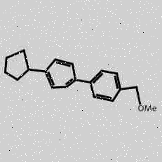 COCc1ccc(-c2ccc(C3CCCC3)cc2)cc1